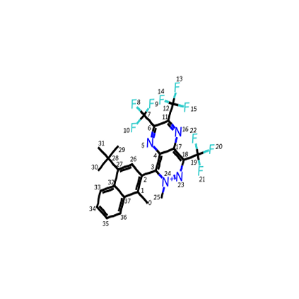 Cc1c(-c2c3nc(C(F)(F)F)c(C(F)(F)F)nc3c(C(F)(F)F)n[n+]2C)cc(C(C)(C)C)c2ccccc12